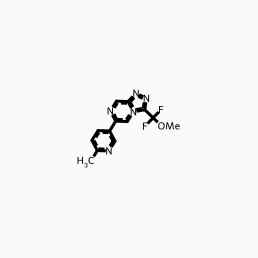 COC(F)(F)c1nnc2cnc(-c3ccc(C)nc3)cn12